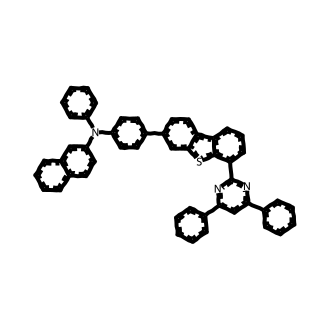 c1ccc(-c2cc(-c3ccccc3)nc(-c3cccc4c3sc3cc(-c5ccc(N(c6ccccc6)c6ccc7ccccc7c6)cc5)ccc34)n2)cc1